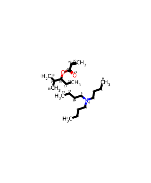 CCCCN(CCCC)CCCC.[CH2]C(C)C(CC)OC(=O)C=C